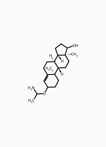 CC(N)OC1C=C2CC[C@@H]3[C@H](CC[C@]4(C)C(O)CC[C@@H]34)[C@@]2(C)CC1